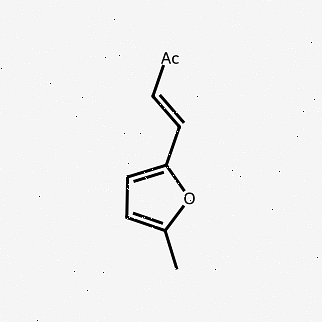 CC(=O)/C=C/c1ccc(C)o1